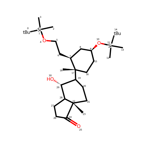 CC(C)(C)[Si](C)(C)OCC[C@H]1C[C@@H](O[Si](C)(C)C(C)(C)C)CC[C@]1(C)C1CC[C@]2(C)C(=O)CCC2[C@@H]1O